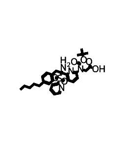 CCCCCc1ccc(CC(N)(c2cccc(N(CC(=O)O)C(=O)OC(C)(C)C)n2)S(=O)(=O)c2ccccn2)cc1